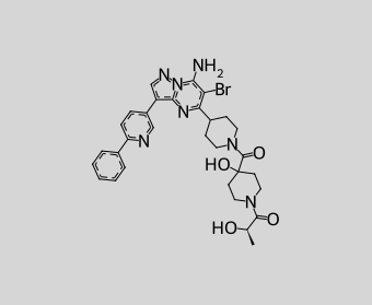 C[C@@H](O)C(=O)N1CCC(O)(C(=O)N2CCC(c3nc4c(-c5ccc(-c6ccccc6)nc5)cnn4c(N)c3Br)CC2)CC1